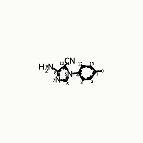 Cc1ccc(-n2cnc(N)c2C#N)cc1